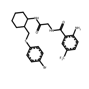 Nc1ccc(C(F)(F)F)cc1C(=O)NCC(=O)NC1CCCCC1CSc1ccc(Br)cc1